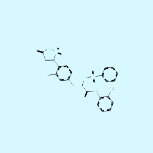 Nc1ccccc1NC(=O)[C@H](Cc1ccc(C2CC(=O)NS2(=O)=O)c(Cl)c1)NS(=O)(=O)c1ccccc1